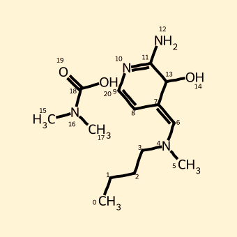 CCCCN(C)C=C1C=CN=C(N)C1O.CN(C)C(=O)O